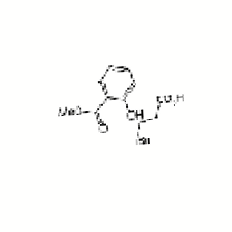 CCC(C)CCC(=O)O.COC(=O)c1ccccc1O